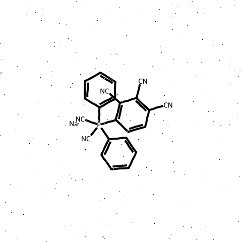 N#Cc1ccc(P(C#N)(C#N)(c2ccccc2)c2ccccc2)c(C#N)c1C#N.[Na]